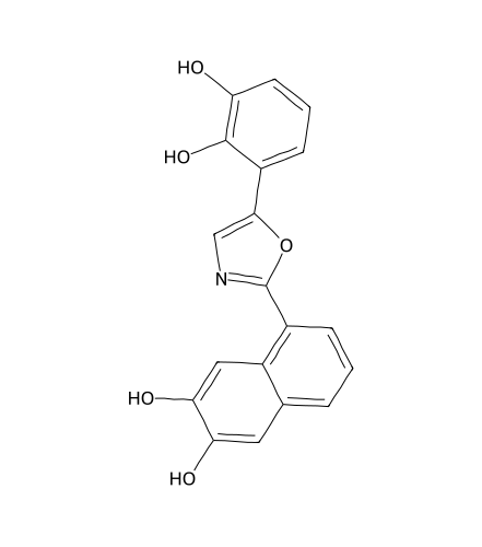 Oc1cc2cccc(-c3ncc(-c4cccc(O)c4O)o3)c2cc1O